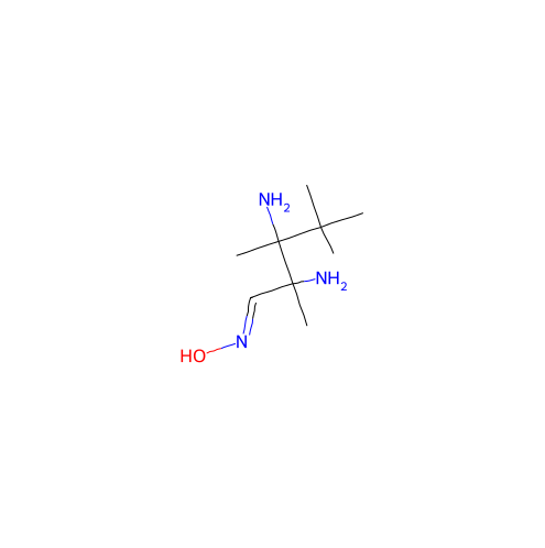 CC(C)(C)C(C)(N)C(C)(N)C=NO